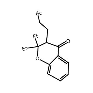 CCC1(CC)Oc2ccccc2C(=O)C1CCC(C)=O